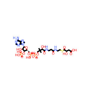 CC(C)(COP(=O)(O)OP(=O)(O)OC[C@H]1O[C@@H](n2cnc3c(N)ncnc32)[C@H](O)[C@@H]1OP(=O)(O)O)[C@@H](O)C(=O)NCCC(=O)NCCSC(=O)[C@@H](O)CC(=O)O